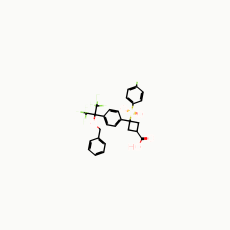 O=C(O)C1CC(c2ccc(C(OCc3ccccc3)(C(F)(F)F)C(F)(F)F)cc2)(S(=O)(=O)c2ccc(F)cc2)C1